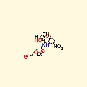 CCOC(=CN[C@@H]1c2cc([N+](=O)[O-])ccc2OC(C)(C)[C@H]1O)COCC=C=O